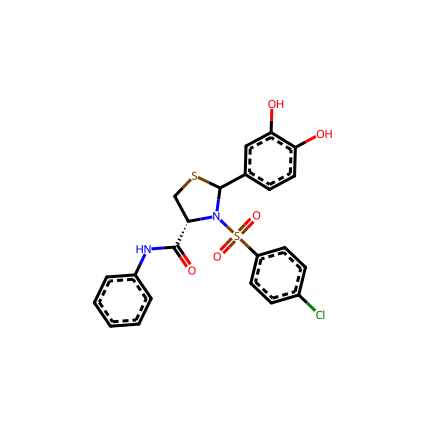 O=C(Nc1ccccc1)[C@@H]1CSC(c2ccc(O)c(O)c2)N1S(=O)(=O)c1ccc(Cl)cc1